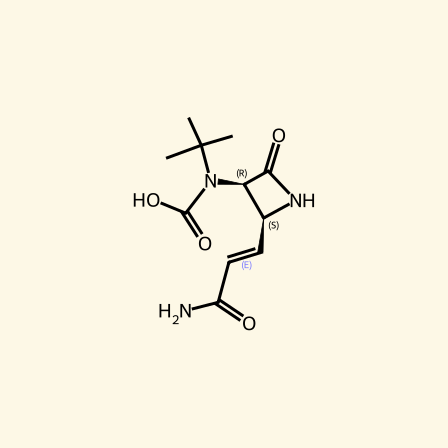 CC(C)(C)N(C(=O)O)[C@H]1C(=O)N[C@H]1/C=C/C(N)=O